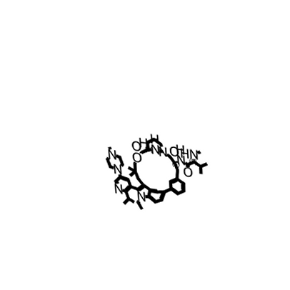 CCn1c(-c2cc(N3CCN(C)CC3)cnc2C(C)C)c2c3cc(ccc31)-c1cccc(c1)C[C@H](NC(=O)[C@@H](NC)C(C)C)C(=O)N1CCC[C@H](N1)C(=O)OCC(C)(C)C2